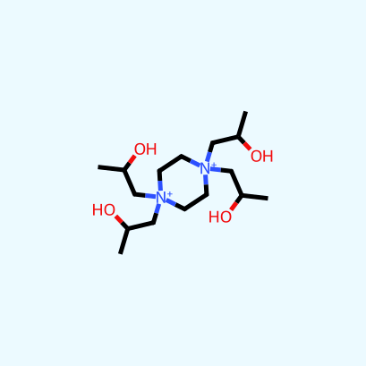 CC(O)C[N+]1(CC(C)O)CC[N+](CC(C)O)(CC(C)O)CC1